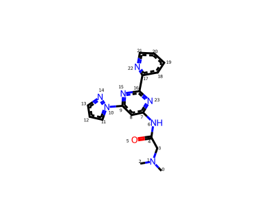 CN(C)CC(=O)Nc1cc(-n2cccn2)nc(-c2ccccn2)n1